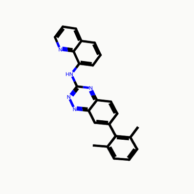 Cc1cccc(C)c1-c1ccc2nc(Nc3cccc4cccnc34)nnc2c1